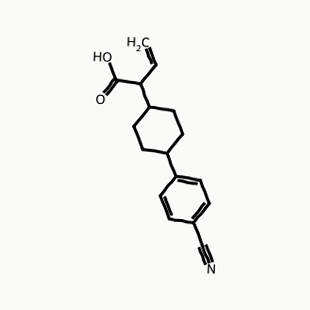 C=CC(C(=O)O)C1CCC(c2ccc(C#N)cc2)CC1